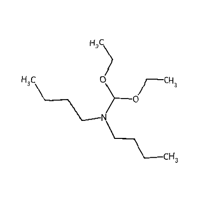 CCCCN(CCCC)C(OCC)OCC